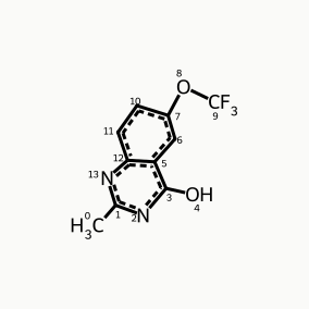 Cc1nc(O)c2cc(OC(F)(F)F)ccc2n1